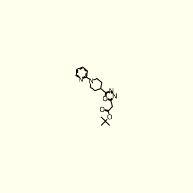 CC(C)(C)OC(=O)Cc1nnc(C2CCN(c3ccccn3)CC2)o1